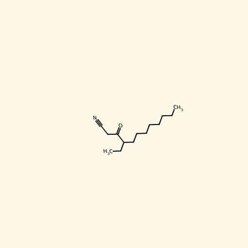 CCCCCCCCC(CC)C(=O)CC#N